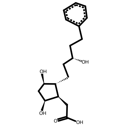 O=C(O)C[C@@H]1[C@@H](CC[C@@H](O)CCc2ccccc2)[C@H](O)C[C@@H]1O